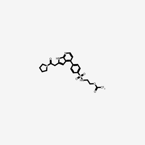 O=C(Cc1cc2c(-c3ccc(S(=O)(=O)NCCOC(=O)C(F)(F)F)cc3)ccnc2[nH]1)N1CCCC1